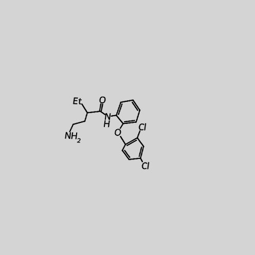 CCC(CCN)C(=O)Nc1ccccc1Oc1ccc(Cl)cc1Cl